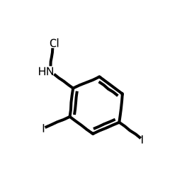 ClNc1ccc(I)cc1I